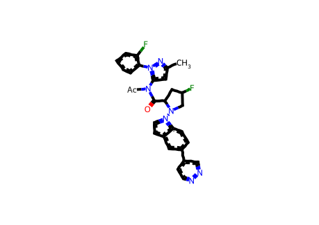 CC(=O)N(C(=O)C1CC(F)CN1n1ccc2cc(-c3ccnnc3)ccc21)c1cc(C)nn1-c1ccccc1F